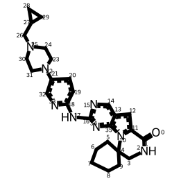 O=C1NCC2(CCCCC2)n2c1cc1cnc(Nc3ccc(N4CCN(CC5CC5)CC4)cn3)nc12